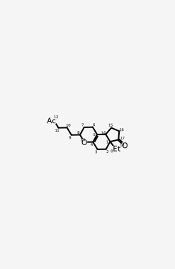 CCC12CCC3=C(CCC(CCCC(C)=O)O3)C1CCC2=O